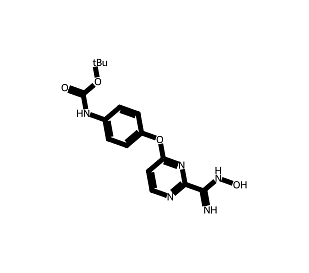 CC(C)(C)OC(=O)Nc1ccc(Oc2ccnc(C(=N)NO)n2)cc1